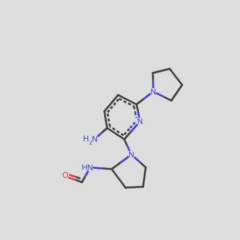 Nc1ccc(N2CCCC2)nc1N1CCCC1NC=O